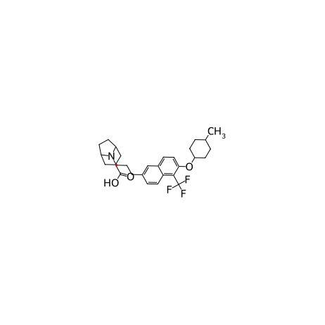 CC1CCC(Oc2ccc3cc(CCCN4C5CCC4CC(C(=O)O)C5)ccc3c2C(F)(F)F)CC1